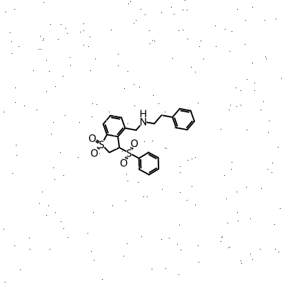 O=S1(=O)CC(S(=O)(=O)c2ccccc2)c2c(CNCCc3ccccc3)cccc21